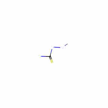 CCCNNC(N)=S